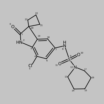 O=C1Nc2c(Cl)cc(NS(=O)(=O)N3CCCCC3)cc2C12CCC2